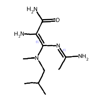 C/C(N)=N\C(=C(\N)C(N)=O)N(C)CC(C)C